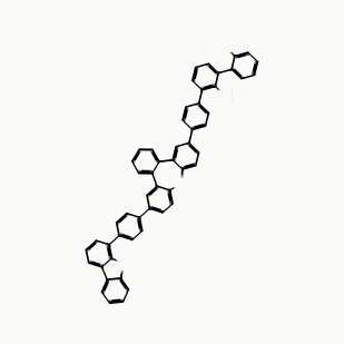 Cc1ccccc1-c1cccc(-c2ccc(-c3ccc4c(c3)-c3ccccc3-c3cc(-c5ccc(-c6cccc7c6oc6ccccc67)cc5)ccc3O4)cc2)c1C